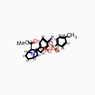 COC(=O)[C@H]1C(c2ccc(I)cc2)CC2CCC1N2CCCOS(=O)(=O)c1ccc(C)cc1